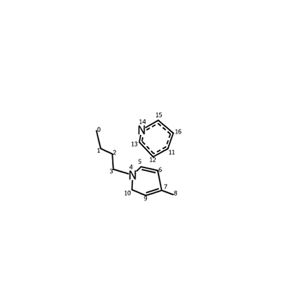 CCCCN1C=CC(C)=CC1.c1ccncc1